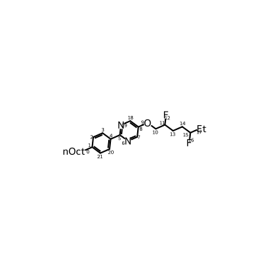 CCCCCCCCc1ccc(-c2ncc(OCC(F)CCC(F)CC)cn2)cc1